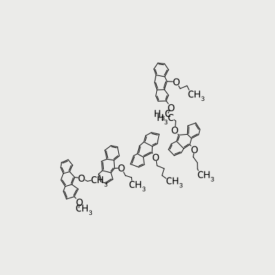 CCCCOc1c2ccccc2c(OCC)c2ccccc12.CCCCOc1c2ccccc2cc2ccccc12.CCCOc1c2ccccc2cc2ccc(OC)cc12.CCCOc1c2ccccc2cc2ccccc12.CCOc1c2ccccc2cc2ccc(OC)cc12